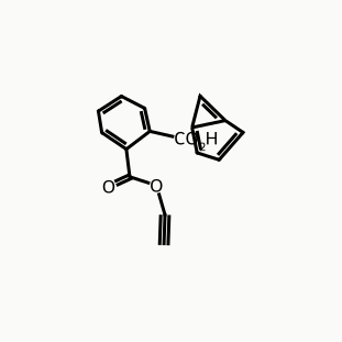 C#COC(=O)c1ccccc1C(=O)O.c1cc2cc-2c1